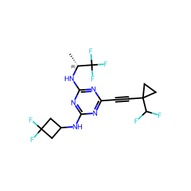 C[C@@H](Nc1nc(C#CC2(C(F)F)CC2)nc(NC2CC(F)(F)C2)n1)C(F)(F)F